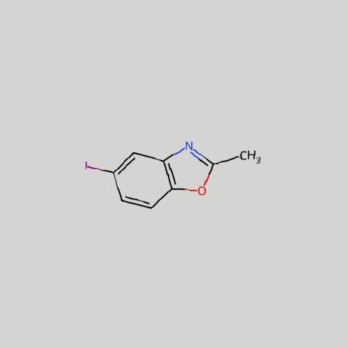 Cc1nc2cc(I)ccc2o1